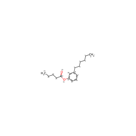 [CH2]CCCCCc1cccc(OC(=O)CCCC)c1